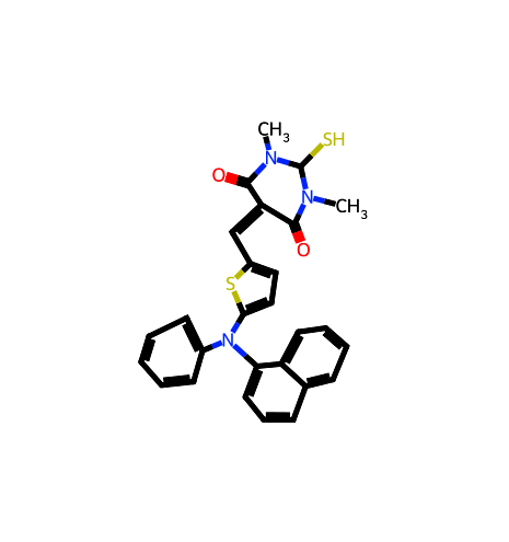 CN1C(=O)C(=Cc2ccc(N(c3ccccc3)c3cccc4ccccc34)s2)C(=O)N(C)C1S